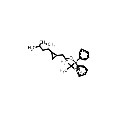 CC(C)C[C@H](C)C1CC1CCO[Si](c1ccccc1)(c1ccccc1)C(C)(C)C